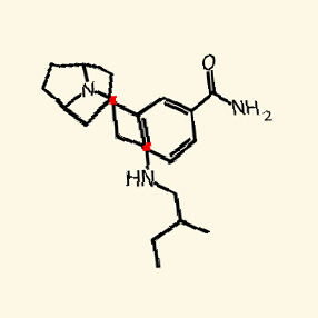 CCC(C)CNCCCN1C2CCC1CC(c1cccc(C(N)=O)c1)C2